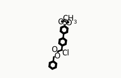 CS(=O)(=O)c1ccc(-c2ccc(C(Cl)C(=O)OCc3ccccc3)cc2)cc1